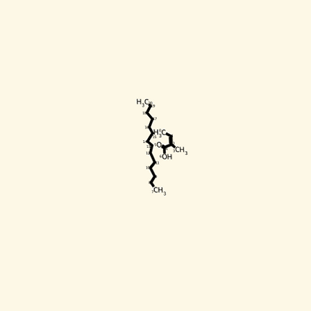 CC=C(C)C(=O)O.CCCCCCCCCCCCCC